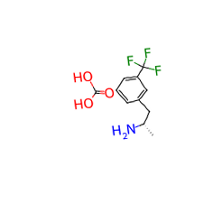 C[C@H](N)Cc1cccc(C(F)(F)F)c1.O=C(O)O